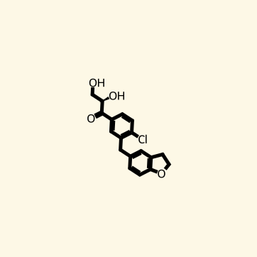 O=C(c1ccc(Cl)c(Cc2ccc3c(c2)CCO3)c1)[C@H](O)CO